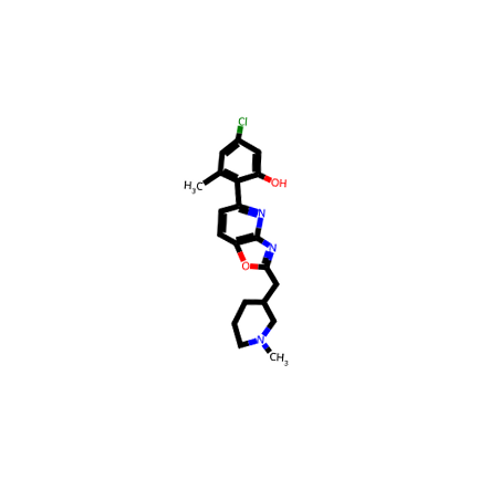 Cc1cc(Cl)cc(O)c1-c1ccc2oc(CC3CCCN(C)C3)nc2n1